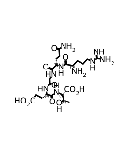 C[C@@H](O)[C@H](NC(=O)[C@H](CCC(=O)O)NC(=O)CNC(=O)[C@H](CCC(N)=O)NC(=O)[C@@H](N)CCCNC(=N)N)C(=O)O